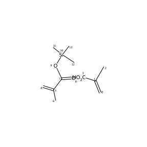 C=C(C)C(=O)O.C=C(C)C(=O)O[Si](C)(C)C